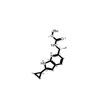 C[C@@H](NC(=O)OC(C)(C)C)c1ccc2cc(C3CC3)[nH]c2n1